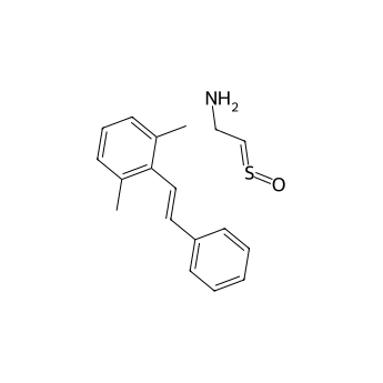 Cc1cccc(C)c1C=Cc1ccccc1.NCC=S=O